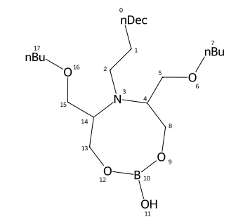 CCCCCCCCCCCCN1C(COCCCC)COB(O)OCC1COCCCC